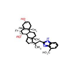 CC[C@H]1[C@@H](O)C2C3CC[C@H]([C@H](C)Cc4nc5c(C(=O)O)cccc5[nH]4)[C@@]3(C)CCC2[C@@]2(C)CC[C@@H](O)C[C@@H]12